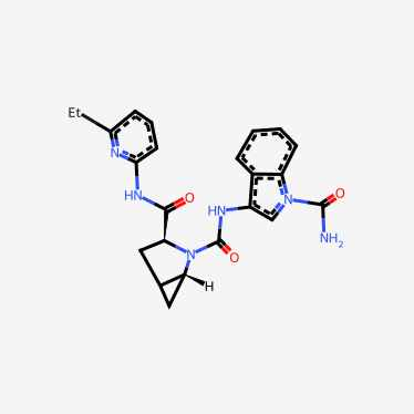 CCc1cccc(NC(=O)[C@@H]2CC3C[C@H]3N2C(=O)Nc2cn(C(N)=O)c3ccccc23)n1